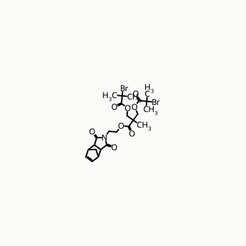 CC(C)(Br)C(=O)OCC(C)(COC(=O)C(C)(C)Br)C(=O)OCCN1C(=O)C2C3C=CC(C3)C2C1=O